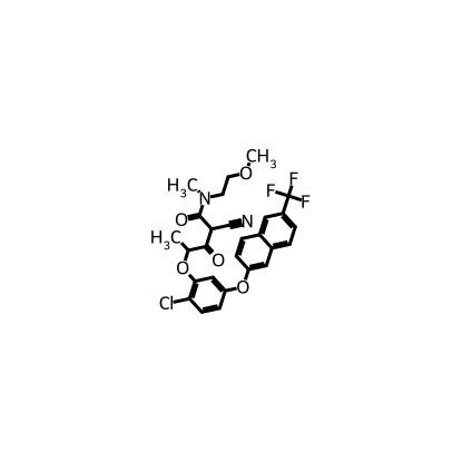 COCCN(C)C(=O)C(C#N)C(=O)C(C)Oc1cc(Oc2ccc3cc(C(F)(F)F)ccc3c2)ccc1Cl